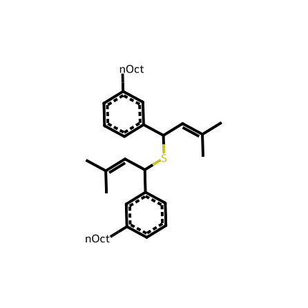 CCCCCCCCc1cccc(C(C=C(C)C)SC(C=C(C)C)c2cccc(CCCCCCCC)c2)c1